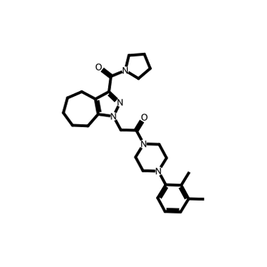 Cc1cccc(N2CCN(C(=O)Cn3nc(C(=O)N4CCCC4)c4c3CCCCC4)CC2)c1C